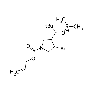 C=CCOC(=O)N1CC(C(C)=O)C(C(O[SiH](C)C)C(C)(C)C)C1